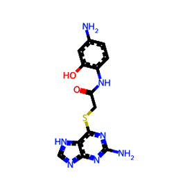 Nc1ccc(NC(=O)CSc2nc(N)nc3nc[nH]c23)c(O)c1